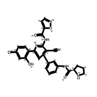 N#Cc1c(-c2cccc(NC(=O)[C@H]3CCCN3)c2)cc(-c2ccc(Cl)cc2O)nc1NC(=O)c1ccno1